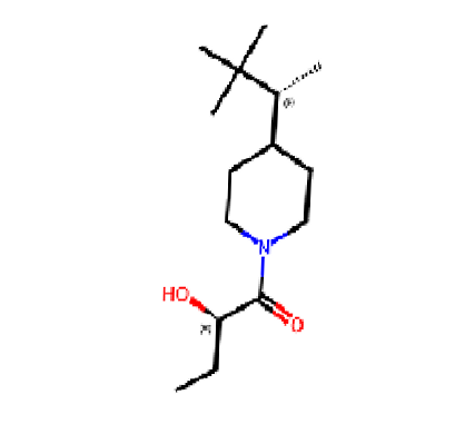 CC[C@@H](O)C(=O)N1CCC([C@@H](C)C(C)(C)C)CC1